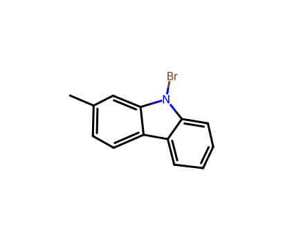 Cc1ccc2c3ccccc3n(Br)c2c1